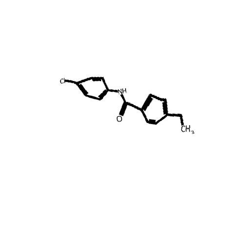 CCc1ccc(C(=O)Nc2ccc(Cl)cc2)cc1